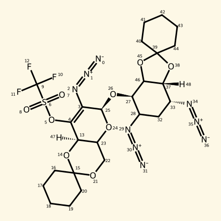 [N-]=[N+]=NC1=C(OS(=O)(=O)C(F)(F)F)[C@@H]2OC3(CCCCC3)OCC2O[C@@H]1O[C@@H]1C(N=[N+]=[N-])C[C@@H](N=[N+]=[N-])[C@H]2OC3(CCCCC3)OC12